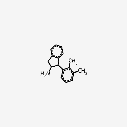 Cc1cccc(C2c3ccccc3CC2N)c1C